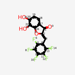 O=C1C(=Cc2c(F)c(F)c(F)c(F)c2F)Oc2c1ccc(O)c2O